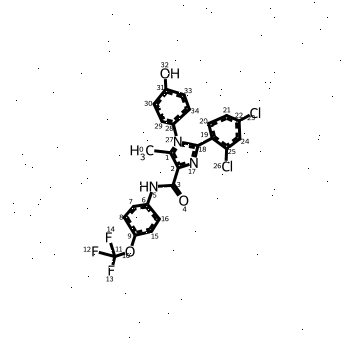 Cc1c(C(=O)Nc2ccc(OC(F)(F)F)cc2)nc(-c2ccc(Cl)cc2Cl)n1-c1ccc(O)cc1